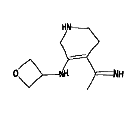 CC(=N)C1=C(NC2COC2)CNCC1